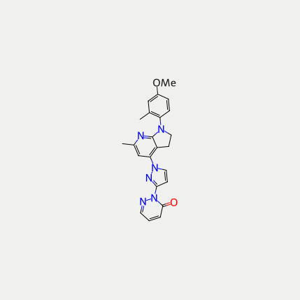 COc1ccc(N2CCc3c(-n4ccc(-n5ncccc5=O)n4)cc(C)nc32)c(C)c1